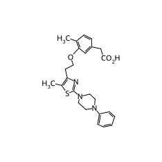 Cc1ccc(CC(=O)O)cc1OCCc1nc(N2CCN(c3ccccc3)CC2)sc1C